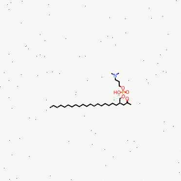 CCCCCCCCCCCCCCCCCCCC(COP(=O)(O)OCCCN(C)C)CC(C)=O